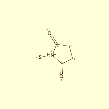 O=C1CCC(=O)[NH+]1[S-]